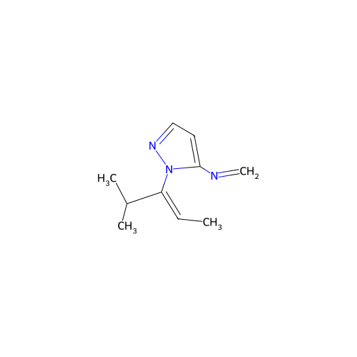 C=Nc1ccnn1/C(=C\C)C(C)C